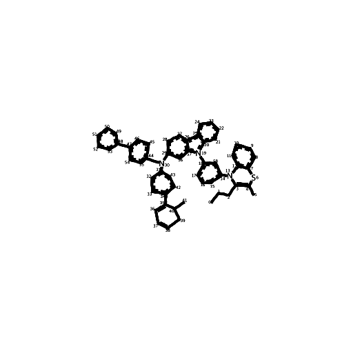 CCCC1=C(C)Sc2ccccc2N1c1cccc(-n2c3ccccc3c3ccc(N(c4ccc(C5=CC=CCC5C)cc4)c4ccc(-c5ccccc5)cc4)cc32)c1